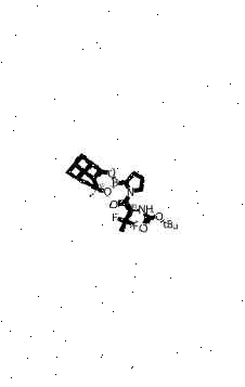 CC(C)(C)OC(=O)N[C@H](C(=O)N1CCCC1B1OC2C3CC4CC5C43C2[C@@]5(C)O1)C(C)(F)F